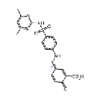 Cc1cc(C)nc(NS(=O)(=O)c2ccc(N/N=C3/C=CC(=O)C(C(=O)O)=C3)cc2)n1